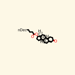 CCCCCCCCCCCCCC(=O)OC1CC[C@H]2[C@@H]3CCC4=CC(=O)CC[C@]4(C)[C@@H]3CC[C@]12C